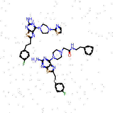 Nc1nc(N2CCN(CC(=O)NCCc3ccccc3)CC2)c2nc(CCc3ccc(F)cc3)sc2n1.Nc1nc(N2CCN(c3nccs3)CC2)c2nc(CCc3ccc(F)cc3)sc2n1